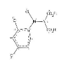 CCOC(=O)N(C(=O)O)N(Cl)c1ccc(Cl)cc1Cl